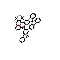 CC1(C)CCC(C)(C)c2c(-c3cc4c(cc3N(c3ccccc3)c3ccc5oc6ccccc6c5c3)C3(c5ccccc5-c5ccccc53)c3ccccc3-4)cccc21